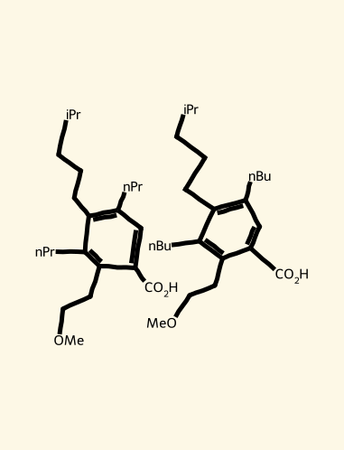 CCCCc1cc(C(=O)O)c(CCOC)c(CCCC)c1CCCC(C)C.CCCc1cc(C(=O)O)c(CCOC)c(CCC)c1CCCC(C)C